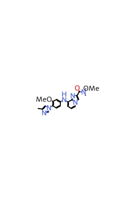 COc1cc(Nc2cccn3cc(C(=O)N(C)OC)nc23)ccc1-n1cnc(C)c1